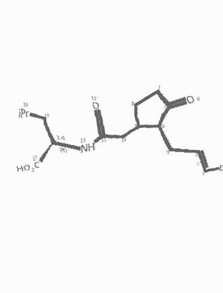 CC/C=C/CC1C(=O)CCC1CC(=O)N[C@H](CC(C)C)C(=O)O